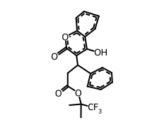 CC(C)(OC(=O)CC(c1ccccc1)c1c(O)c2ccccc2oc1=O)C(F)(F)F